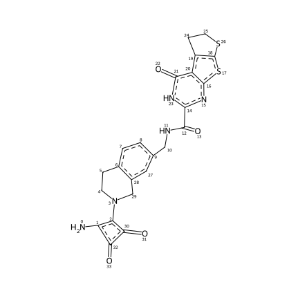 Nc1c(N2CCc3ccc(CNC(=O)c4nc5sc6c(c5c(=O)[nH]4)CCS6)cc3C2)c(=O)c1=O